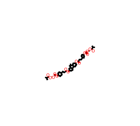 C=C(C)C(=O)OCOC(=O)Oc1ccc(/C=C/C(=O)Oc2ccc3c(c2)C(C)(C)c2cc(OC(=O)/C=C/c4ccc(OC(=O)OCOC(=O)C(=C)C)cc4)ccc2-3)cc1